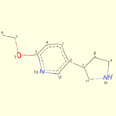 CCOc1ccc(C2CCNC2)cn1